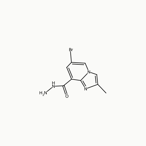 Cc1cn2cc(Br)cc(C(=O)NN)c2n1